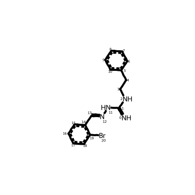 N=C(NCCc1ccccc1)N/N=C/c1ccccc1Br